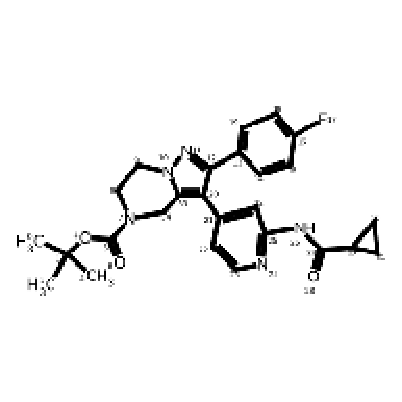 CC(C)(C)OC(=O)N1CCn2nc(-c3ccc(F)cc3)c(-c3ccnc(NC(=O)C4CC4)c3)c2C1